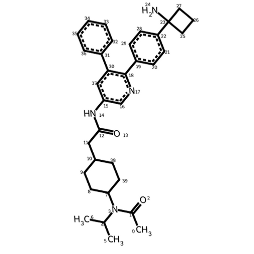 CC(=O)N(C(C)C)C1CCC(CC(=O)Nc2cnc(-c3ccc(C4(N)CCC4)cc3)c(-c3ccccc3)c2)CC1